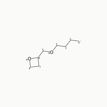 [CH2]CCCOCC1CCO1